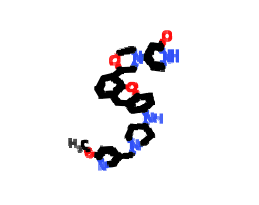 COc1ccc(CN2CCC(Nc3ccc4c(c3)Cc3cccc(C5CN(c6cc[nH]c(=O)c6)CCO5)c3O4)CC2)cn1